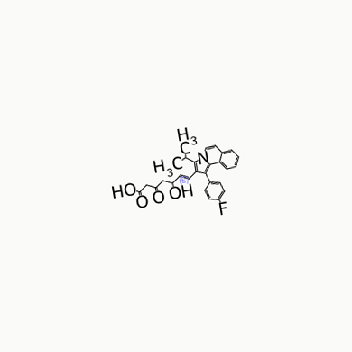 CC(C)c1c(/C=C/C(O)CC(=O)CC(=O)O)c(-c2ccc(F)cc2)c2c3ccccc3ccn12